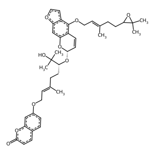 C/C(=C\COc1c2c(cc3occc13)O[C@@H](O[C@H](CC/C(C)=C/COc1ccc3ccc(=O)oc3c1)C(C)(C)O)C=C2)CCC1OC1(C)C